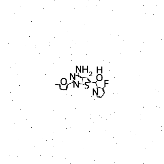 Cc1ccc(-c2nc(N)c3cc(C(O)c4ncccc4F)sc3n2)o1